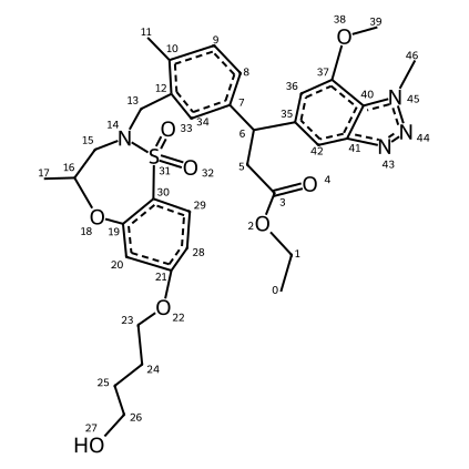 CCOC(=O)CC(c1ccc(C)c(CN2CC(C)Oc3cc(OCCCCO)ccc3S2(=O)=O)c1)c1cc(OC)c2c(c1)nnn2C